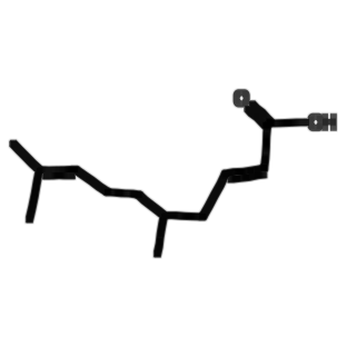 CC(C)=CCCC(C)C/C=C/C(=O)O